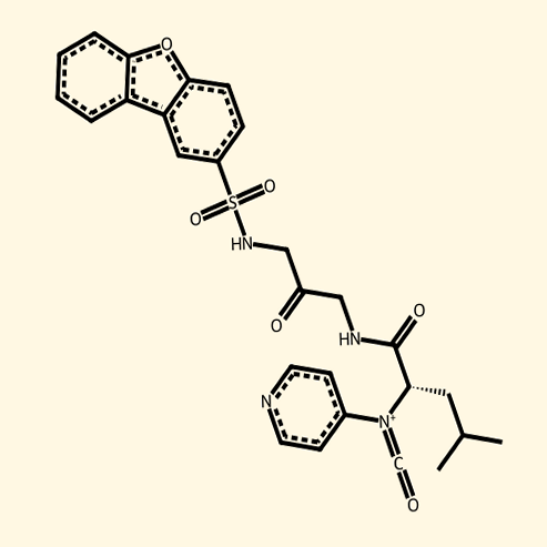 CC(C)C[C@@H](C(=O)NCC(=O)CNS(=O)(=O)c1ccc2oc3ccccc3c2c1)[N+](=C=O)c1ccncc1